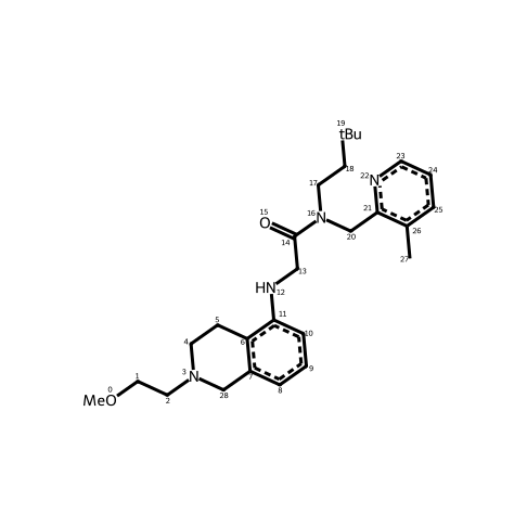 COCCN1CCc2c(cccc2NCC(=O)N(CCC(C)(C)C)Cc2ncccc2C)C1